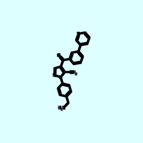 NCc1ccc(-n2ncc(C(=O)c3cccc(-c4cccnc4)c3)c2N)cc1